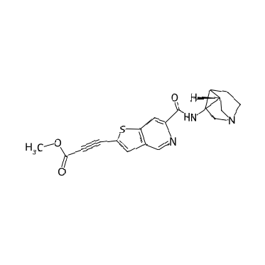 COC(=O)C#Cc1cc2cnc(C(=O)N[C@H]3CN4CCC3CC4)cc2s1